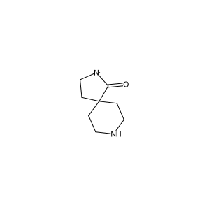 O=C1[N]CCC12CCNCC2